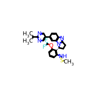 CSNc1cccc(OC(F)F)c1[C@H]1CCc2nc3ccc(-c4cnc(C(C)C)nc4)cc3n21